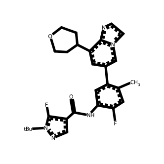 Cc1cc(F)c(NC(=O)c2cnn(C(C)(C)C)c2F)cc1-c1cc(C2CCOCC2)c2nccn2c1